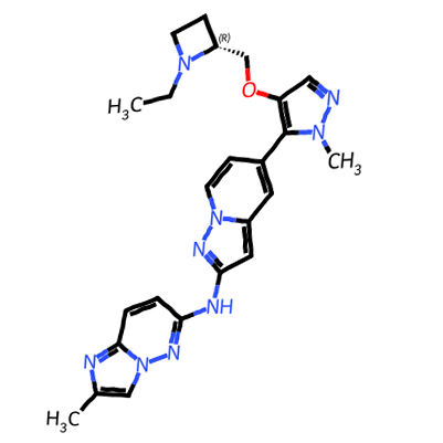 CCN1CC[C@@H]1COc1cnn(C)c1-c1ccn2nc(Nc3ccc4nc(C)cn4n3)cc2c1